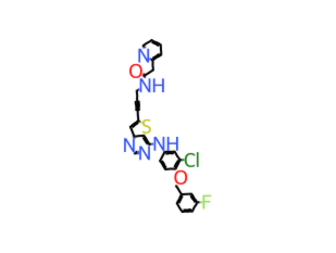 O=C(Cc1ccccn1)NCC#Cc1cc2ncnc(Nc3ccc(OCc4cccc(F)c4)c(Cl)c3)c2s1